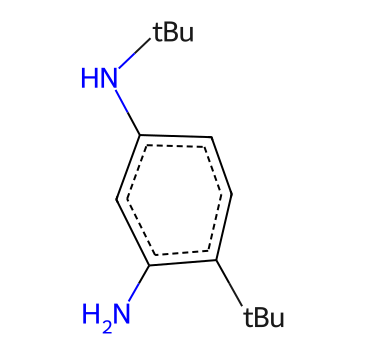 CC(C)(C)Nc1ccc(C(C)(C)C)c(N)c1